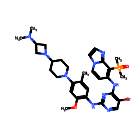 COc1cc(N2CCC(N3CC(N(C)C)C3)CC2)c(C)cc1Nc1ncc(Br)c(Nc2ccn3ccnc3c2P(C)(C)=O)n1